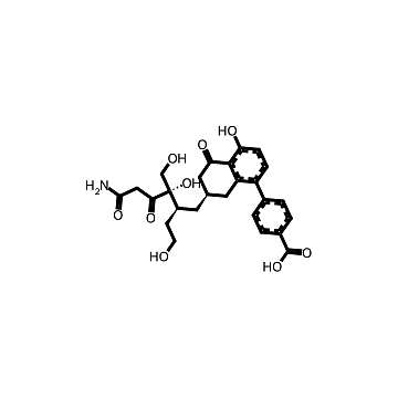 NC(=O)CC(=O)[C@@](O)(CO)[C@H](CCO)C[C@H]1CC(=O)c2c(O)ccc(-c3ccc(C(=O)O)cc3)c2C1